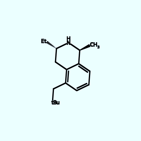 CC[C@H]1Cc2c(CC(C)(C)C)cccc2[C@H](C)N1